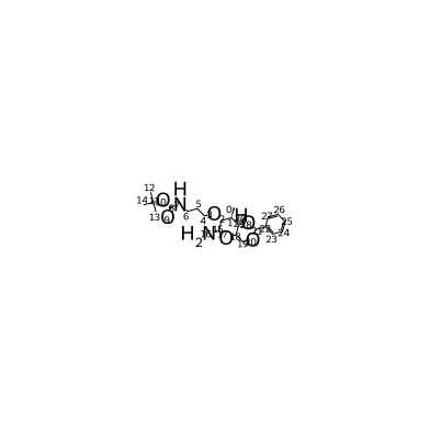 C[C@@H]1C(OCCCNC(=O)OC(C)(C)C)[C@H](N)OC2COC(c3ccccc3)O[C@@H]21